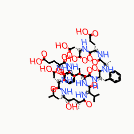 CC(C)C[C@H](NC(=O)[C@@H](N)CCC(=O)O)C(=O)N[C@@H](CC(=O)O)C(=O)N[C@@H](CC(C)C)[C@@H](O)C[C@@H](C)C(=O)N[C@H](C(=O)N[C@@H](Cc1ccccc1)C(=O)N[C@@H](Cc1ccccc1)C(=O)N[C@@H](C)C(=O)N[C@@H](CCC(=O)O)C(=O)N[C@@H](CC(=O)O)C(=O)O)C(C)C